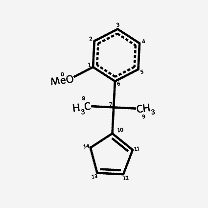 COc1ccccc1C(C)(C)C1=CC=CC1